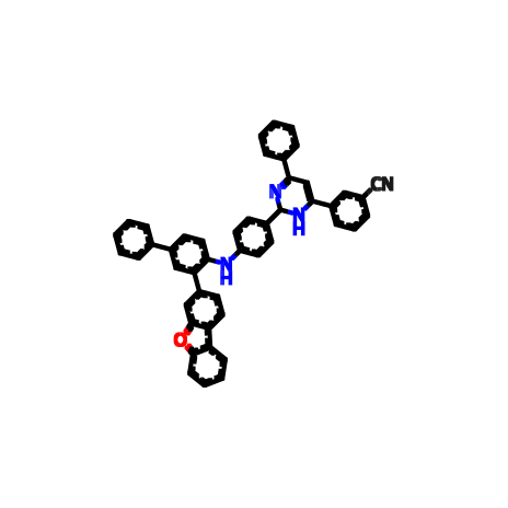 N#Cc1cccc(C2=CC(c3ccccc3)=NC(c3ccc(Nc4ccc(-c5ccccc5)cc4-c4ccc5c(c4)oc4ccccc45)cc3)N2)c1